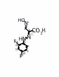 O=C(O)C(/C=N/O)=N/Nc1ccc(F)cc1F